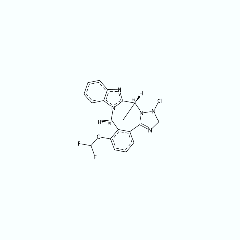 FC(F)Oc1cccc2c1[C@H]1C[C@H](c3nc4ccccc4n31)N1C2=NCN1Cl